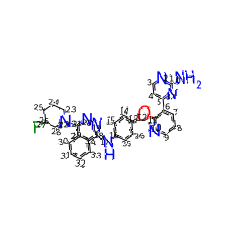 Nc1nccc(-c2cccnc2Oc2ccc(Nc3nnc(N4CCCC(F)C4)c4ccccc34)cc2)n1